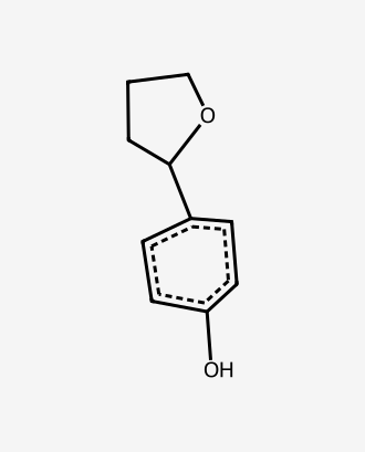 Oc1ccc(C2CCCO2)cc1